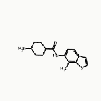 Cc1c(NC(=O)C2CCC(N)CC2)ccc2ccsc12